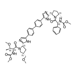 COC[C@H]1C[C@@H](c2ncc(-c3ccc(-c4ccc(-c5cnc([C@@H]6CC[C@H](C)N6C(=O)[C@H](NC(=O)OC)c6ccccc6)[nH]5)cc4)cc3)[nH]2)N(C(=O)[C@@H](NC(=O)OC)[C@@H](C)OC)C1